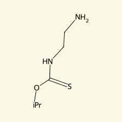 CC(C)OC(=S)NCCN